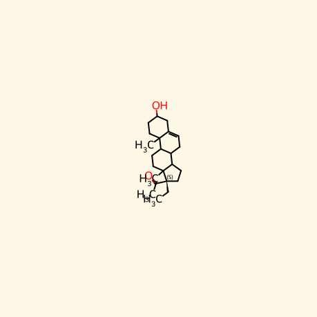 CC[C@]1(C(C)=O)CCC2C3CC=C4CC(O)CCC4(C)C3CCC21C